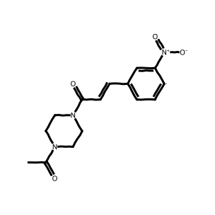 CC(=O)N1CCN(C(=O)/C=C/c2cc[c]c([N+](=O)[O-])c2)CC1